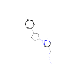 [N-]=[N+]=NCc1cnn(C2CCC(c3ccc(F)cc3)C2)c1